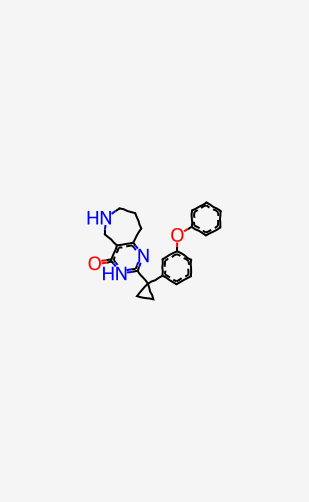 O=c1[nH]c(C2(c3cccc(Oc4ccccc4)c3)CC2)nc2c1CNCCC2